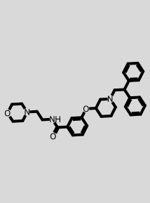 O=C(NCCN1CCOCC1)c1cccc(OC2CCCN(CC(c3ccccc3)c3ccccc3)C2)c1